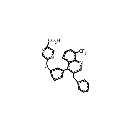 O=C(O)c1cnc(Oc2cccc(-c3c(Cc4ccccc4)cnc4c(C(F)(F)F)cccc34)c2)cn1